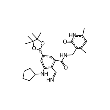 Cc1cc(C)c(CNC(=O)c2cc(B3OC(C)(C)C(C)(C)O3)cc(NC3CCCC3)c2C=N)c(=O)[nH]1